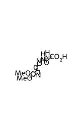 COc1cc2nccc(Oc3ccc(NC(=O)NCC(=O)O)nc3)c2cc1OC